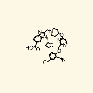 N#Cc1cc(Cl)ccc1OCc1nccc(OC2CCN(Cc3nc4ccc(C(=O)O)cc4n3C[C@@H]3CCO3)CC2)n1